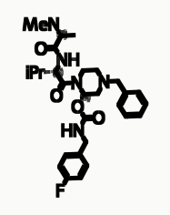 CN[C@@H](C)C(=O)N[C@H](C(=O)N1CCN(Cc2ccccc2)C[C@@H]1OC(=O)NCc1ccc(F)cc1)C(C)C